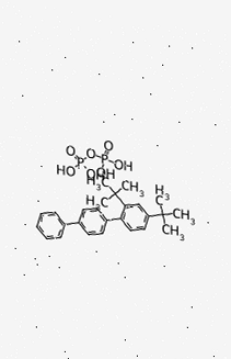 CC(C)(C)c1ccc(-c2ccc(-c3ccccc3)cc2)c(C(C)(C)C)c1.O=P(O)(O)OP(=O)(O)O